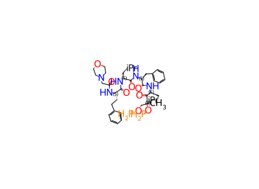 CC(C)C[C@H](NC(=O)[C@H](CCc1ccccc1)NC(=O)CN1CCOCC1)C(=O)N[C@@H](Cc1ccccc1)C(=O)N[C@@H](CC(C)C)C(=O)[C@@](C)(COP)OP